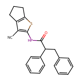 N#Cc1c(PC(=O)C(Cc2ccccc2)c2ccccc2)sc2c1CCC2